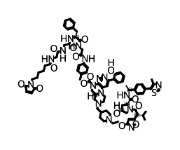 Cc1ncsc1-c1ccc([C@H](C)NC(=O)[C@@H]2C[C@@H](O)CN2C(=O)[C@@H](c2cc(OCCN3CCC(CN4CCN5c6cc(-c7ccccc7O)nnc6N(C(=O)OCc6ccc(NC(=O)CNC(=O)[C@H](Cc7ccccc7)NC(=O)CNC(=O)CNC(=O)CCCCCN7C(=O)C=CC7=O)cc6)C[C@H]5C4)CC3)no2)C(C)C)cc1